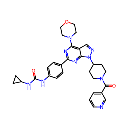 O=C(Nc1ccc(-c2nc(N3CCOCC3)c3cnn(C4CCN(C(=O)c5cccnc5)CC4)c3n2)cc1)NC1CC1